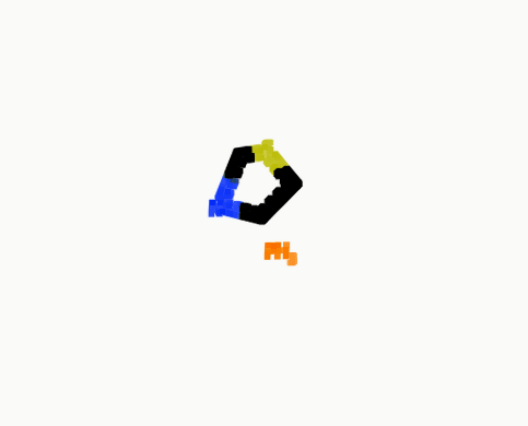 P.c1cscn1